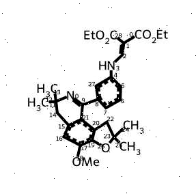 CCOC(=O)C(=CNc1cccc(C2=NC(C)(C)Cc3cc(OC)c4c(c32)CC(C)(C)O4)c1)C(=O)OCC